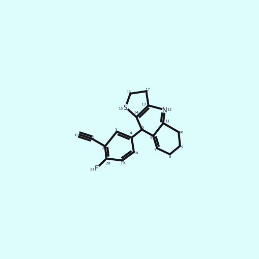 C#Cc1cc(C2C3=CCCCC3=NC3=C2SCC3)ccc1F